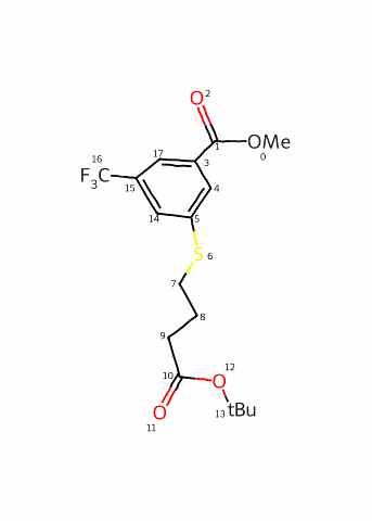 COC(=O)c1cc(SCCCC(=O)OC(C)(C)C)cc(C(F)(F)F)c1